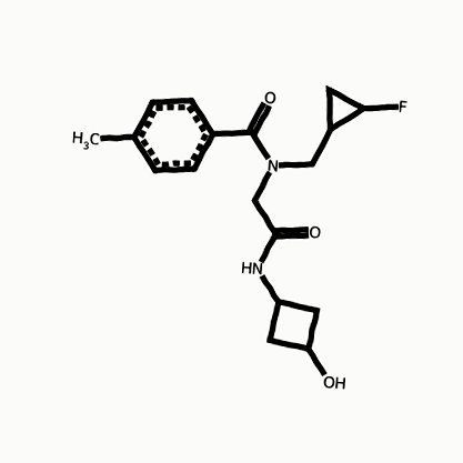 Cc1ccc(C(=O)N(CC(=O)NC2CC(O)C2)CC2CC2F)cc1